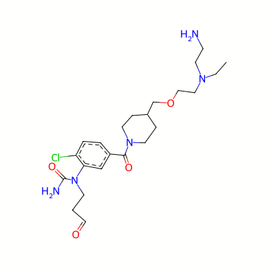 CCN(CCN)CCOCC1CCN(C(=O)c2ccc(Cl)c(N(CCC=O)C(N)=O)c2)CC1